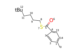 Cc1ccc(C(=O)SCCCCC(C)(C)C)cc1